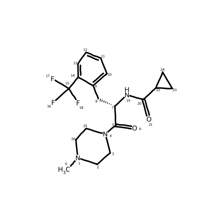 CN1CCN(C(=O)[C@H](Cc2ccccc2C(F)(F)F)NC(=O)C2CC2)CC1